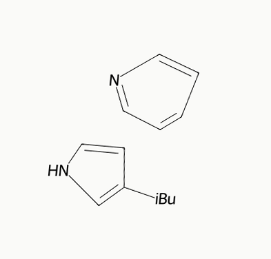 CCC(C)c1cc[nH]c1.c1ccncc1